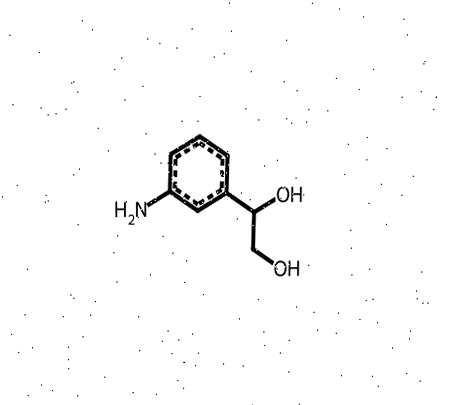 Nc1cccc(C(O)CO)c1